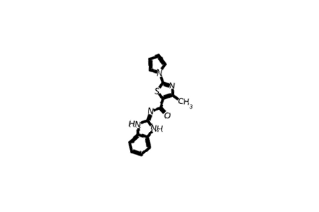 Cc1nc(-n2cccc2)sc1C(=O)N=c1[nH]c2ccccc2[nH]1